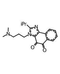 CC(C)c1nc2c(n1CCCN(C)C)C(=O)C(=O)c1ccccc1-2